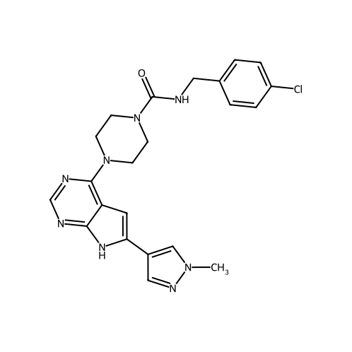 Cn1cc(-c2cc3c(N4CCN(C(=O)NCc5ccc(Cl)cc5)CC4)ncnc3[nH]2)cn1